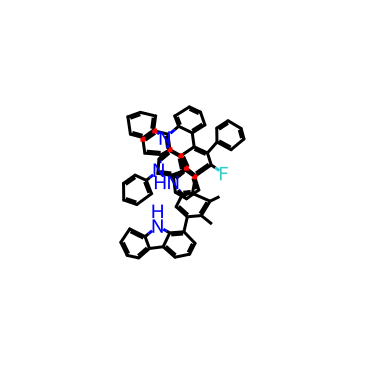 Cc1c(-c2cccc3c2[nH]c2ccccc23)cc2[nH]c3c(-c4ccccc4N(c4ccccc4)c4ccccc4)c(-c4ccccc4N(c4ccccc4)c4ccccc4)c(-c4ccccc4)c(F)c3c2c1C